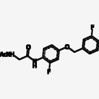 CC(=O)NCC(=O)Nc1ccc(OCc2cccc(F)c2)cc1F